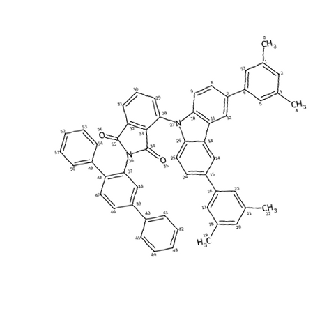 Cc1cc(C)cc(-c2ccc3c(c2)c2cc(-c4cc(C)cc(C)c4)ccc2n3-c2cccc3c2C(=O)N(c2cc(-c4ccccc4)ccc2-c2ccccc2)C3=O)c1